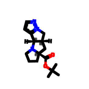 CC(C)(C)OC(=O)[C@@]12CCCN1[C@@H]1c3ccnn3C[C@@H]1C2